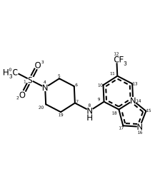 CS(=O)(=O)N1CCC(Nc2cc(C(F)(F)F)cn3cncc23)CC1